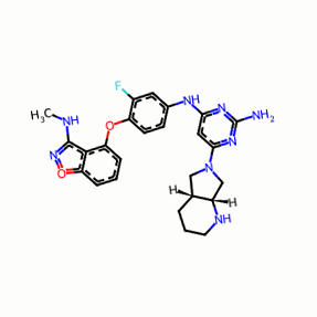 CNc1noc2cccc(Oc3ccc(Nc4cc(N5C[C@H]6CCCN[C@H]6C5)nc(N)n4)cc3F)c12